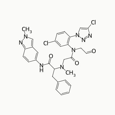 CN(CC(=O)N(CC=O)c1cc(Cl)ccc1-n1cc(Cl)nn1)C(Cc1ccccc1)C(=O)Nc1ccc2nn(C)cc2c1